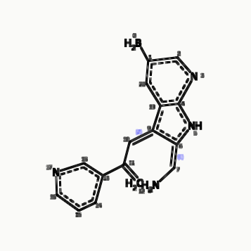 Bc1cnc2[nH]c(=C/N)/c(=C\C(=C)c3cccnc3)c2c1